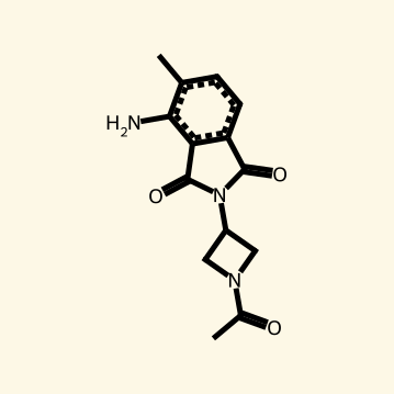 CC(=O)N1CC(N2C(=O)c3ccc(C)c(N)c3C2=O)C1